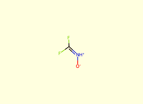 [O-][NH+]=C(F)F